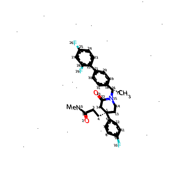 CNC(=O)CC[C@@]1(c2ccc(F)cc2)CCN([C@@H](C)c2ccc(-c3ccc(F)cc3F)cc2)C(=O)C1